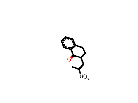 CC(CC1CCc2ccccc2C1=O)[N+](=O)[O-]